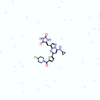 O=C1NC(=O)/C(=C/c2cnn3c(NC4CC4)cc(-c4ccc(C(=O)N5CCC(F)CC5)s4)nc23)N1